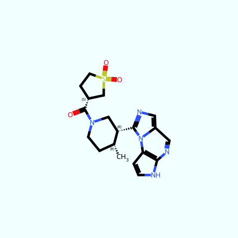 C[C@@H]1CCN(C(=O)[C@@H]2CCS(=O)(=O)C2)C[C@@H]1c1ncc2cnc3[nH]ccc3n12